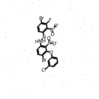 O=[N+]([O-])c1c(NNc2ccc(Br)c(Oc3cccc(Cl)c3)c2[N+](=O)[O-])ccc(Br)c1F